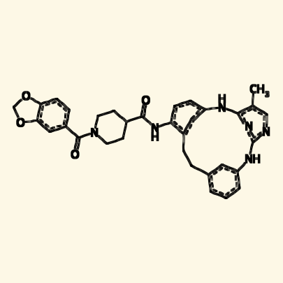 Cc1cnc2nc1Nc1ccc(NC(=O)C3CCN(C(=O)c4ccc5c(c4)OCO5)CC3)c(c1)CCc1cccc(c1)N2